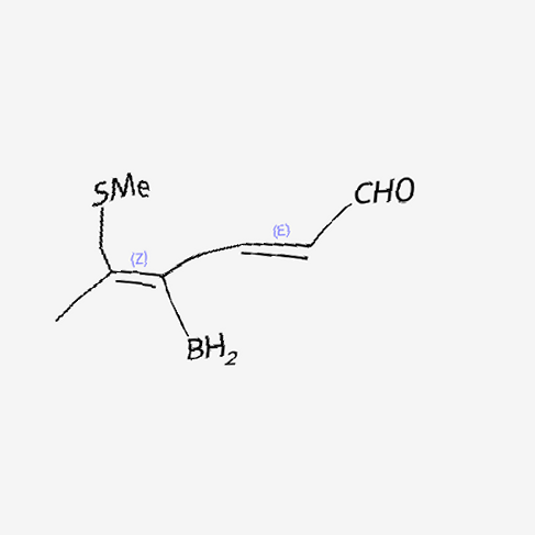 BC(/C=C/C=O)=C(\C)SC